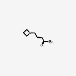 CCC(C)C(=O)/C=C/CN1CCC1